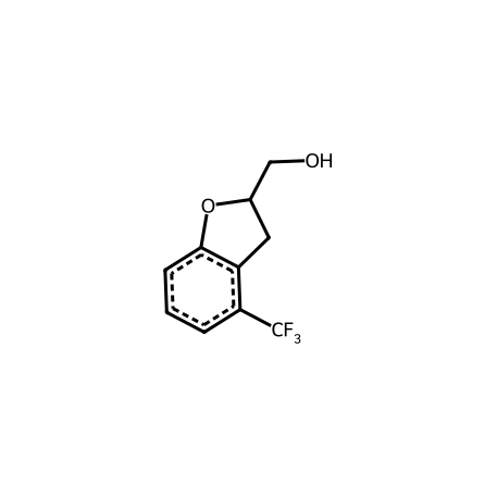 OCC1Cc2c(cccc2C(F)(F)F)O1